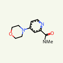 CNC(=O)c1cc(N2CCOCC2)ccn1